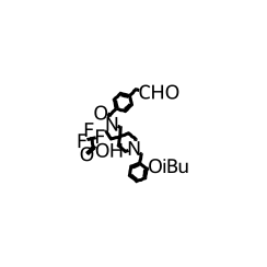 CC(C)COc1ccccc1CN1CCC2(CC1)CCN(C(=O)c1ccc(CC=O)cc1)C2.O=C(O)C(F)(F)F